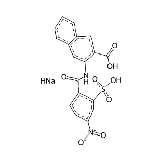 O=C(O)c1cc2ccccc2cc1NC(=O)c1ccc([N+](=O)[O-])cc1S(=O)(=O)O.[NaH]